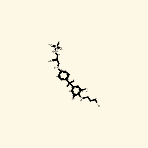 CC(C)(c1ccc(NCC(=O)CNS(C)(=O)=O)cc1)c1cc(Cl)c(OCCCCl)c(Cl)c1